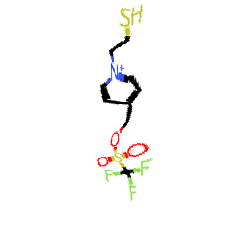 O=S(=O)(OCc1cc[n+](CCS)cc1)C(F)(F)F